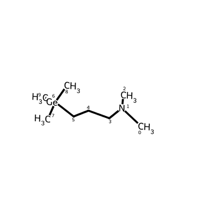 CN(C)CC[CH2][Ge]([CH3])([CH3])[CH3]